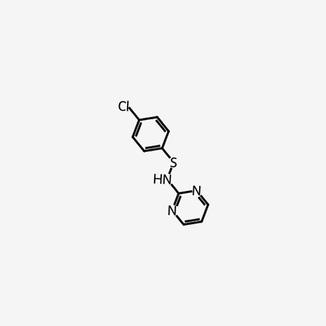 Clc1ccc(SNc2ncccn2)cc1